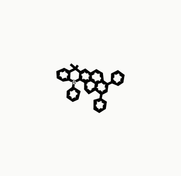 CC1(C)c2ccccc2B(c2ccccc2)c2c1cc1ccc3c(-c4ccccc4)cc(-c4ccccc4)c4ccc2c1c34